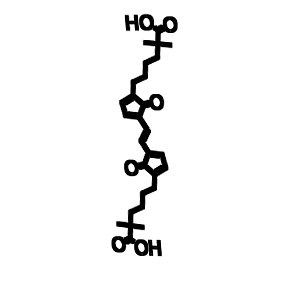 CC(C)(CCCCC1=CC=C(C=CC2=CC=C(CCCCC(C)(C)C(=O)O)C2=O)C1=O)C(=O)O